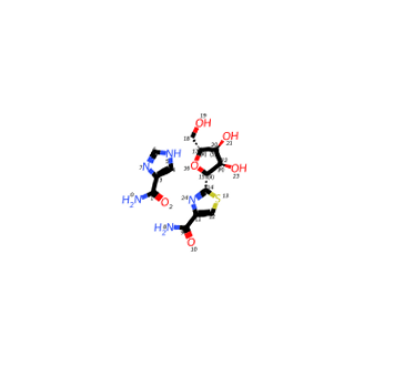 NC(=O)c1c[nH]cn1.NC(=O)c1csc([C@@H]2O[C@H](CO)[C@@H](O)[C@H]2O)n1